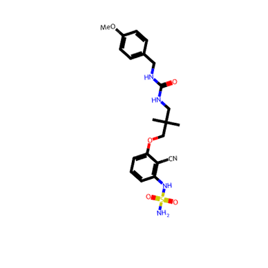 COc1ccc(CNC(=O)NCC(C)(C)COc2cccc(NS(N)(=O)=O)c2C#N)cc1